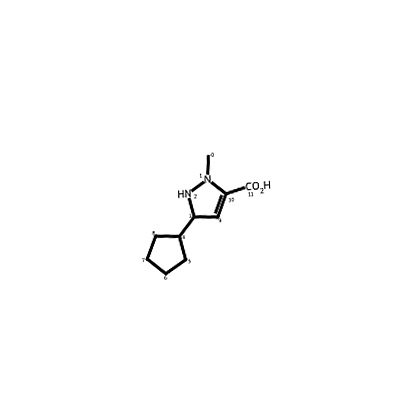 CN1NC(C2CCCC2)C=C1C(=O)O